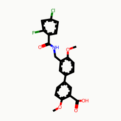 COc1ccc(-c2ccc(OC)c(C(=O)O)c2)cc1CNC(=O)c1ccc(Cl)cc1F